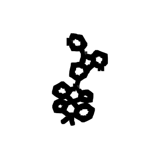 C[Si]1(C)c2ccccc2C2(c3ccccc3N(c3ccc4c(c3)c3ncccc3n4-c3cccnc3)c3ccccc32)c2ccccc21